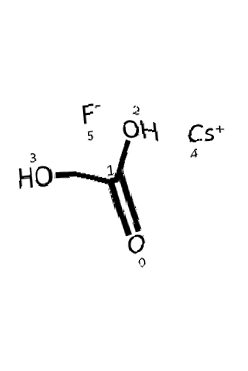 O=C(O)O.[Cs+].[F-]